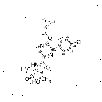 CCC(C)(NC(=O)c1cnc(OCC2CC2)c(-c2ccc(Cl)cc2)n1)C(=O)O